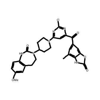 COc1ccc2c(c1)CCN(C1CCN(c3cc(C(=O)c4cc(C)c5[nH]c(=O)oc5c4)nc(Cl)n3)CC1)C(=O)N2